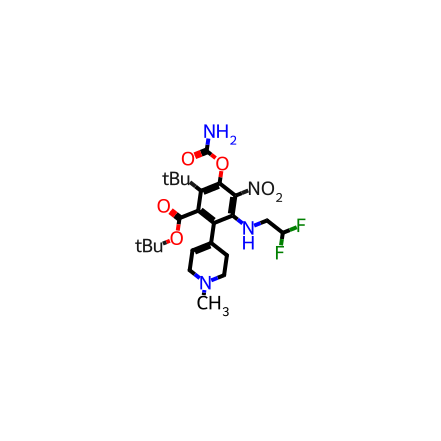 CN1CC=C(c2c(NCC(F)F)c([N+](=O)[O-])c(OC(N)=O)c(C(C)(C)C)c2C(=O)OC(C)(C)C)CC1